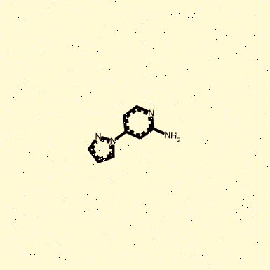 Nc1cc(-n2cccn2)ccn1